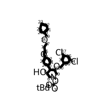 CC(C)(C)OC(=O)ON1CC(O)C(c2ccc(OCCCOCc3ccccc3)cc2)C(OCc2cc(Cl)cc(Cl)c2)C1